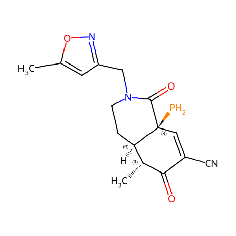 Cc1cc(CN2CC[C@@H]3[C@@H](C)C(=O)C(C#N)=C[C@@]3(P)C2=O)no1